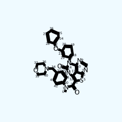 CN(C(=O)c1sc2ncnc3c2c1NC(=O)N3c1cccc(Oc2ccccc2)c1)c1ccc(CN2CCOCC2)cc1